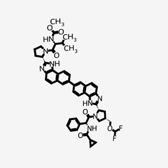 COC(=O)N[C@H](C(=O)N1CCC[C@H]1c1nc2ccc3cc(-c4ccc5c(ccc6nc([C@@H]7C[C@H](COC(F)F)CN7C(=O)[C@H](NC(=O)C7CC7)c7ccccc7)[nH]c65)c4)ccc3c2[nH]1)C(C)C